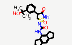 CC(C)(O)c1cccc(C2CS(=O)(=NC(=O)Nc3c4c(cc5c3CCC5)CCC4)NC2=O)c1